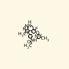 C=CC(=O)Nc1ccc(-c2c3c4c(ncnc4n2C)NCCC2=C(F)C(Oc4nccc(C)n4)CC=C23)cc1